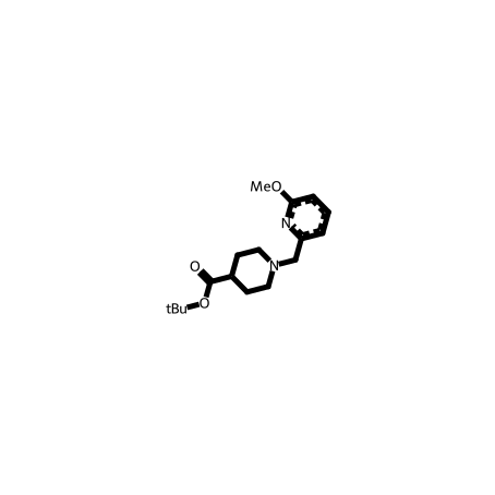 COc1cccc(CN2CCC(C(=O)OC(C)(C)C)CC2)n1